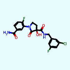 NC(=O)c1ccc(F)c(N2CCC(O)(C(=O)NCc3cc(F)cc(Cl)c3)C2=O)c1